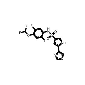 O=S(=O)(Nc1cc(F)c(OC(F)F)cc1F)c1c[nH]c(-c2cncs2)c1